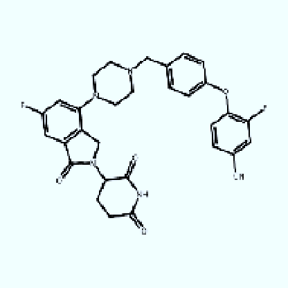 N#Cc1ccc(Oc2ccc(CN3CCN(c4cc(F)cc5c4CN(C4CCC(=O)NC4=O)C5=O)CC3)cc2)c(F)c1